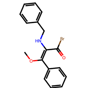 COC(=C(NCc1ccccc1)C(=O)Br)c1ccccc1